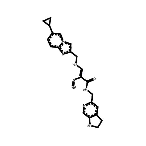 N=N/C(=C\NCc1cn2cc(C3CC3)ccc2n1)C(=O)NCc1cc2c(cn1)NCC2